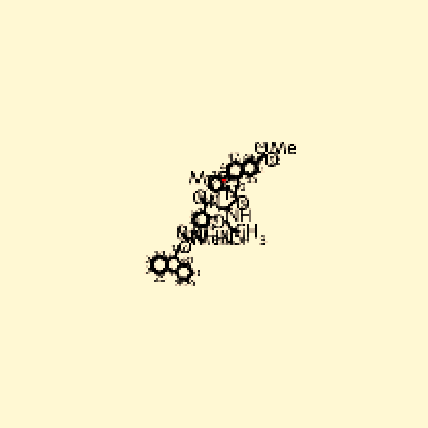 CN[C@@H](C)C(=O)N[C@H]1CN(C(=O)c2ccc(NC(=O)OCC3c4ccccc4-c4ccccc43)cc2)c2ccccc2N(Cc2c(OC)ccc3cc(C(=O)OC)ccc23)C1=O.Cl